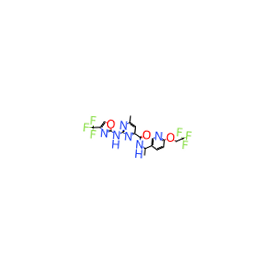 Cc1cc(C(=O)NC(C)c2ccc(OCC(F)(F)F)nc2)nc(Nc2nc(C(F)(F)F)co2)n1